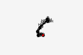 O=C(Cc1ccc(COc2cccc(C(NC(=O)O[C@H]3CN4CCC3CC4)c3ccccc3)c2)cc1)NCCCNC[C@@H](O)c1ccc(O)c2[nH]c(=O)ccc12